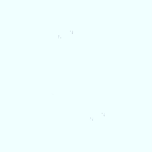 Cn1cc(-c2ccc(-c3cnn4cccc(C5=CCSCC5)c34)cc2)cn1